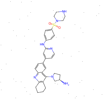 N[C@@H]1CCN(c2c3c(nc4ccc(-c5ccnc(Nc6ccc(S(=O)(=O)N7CCNCC7)cc6)c5)cc24)CCCC3)C1